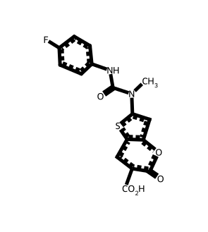 CN(C(=O)Nc1ccc(F)cc1)c1cc2oc(=O)c(C(=O)O)cc2s1